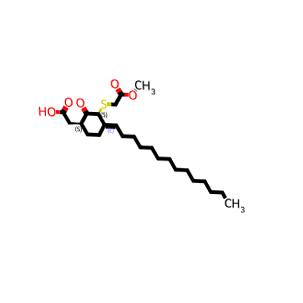 CCCCCCCCCCCCC/C=C1\CC[C@@H](CC(=O)O)C(=O)[C@H]1SCC(=O)OC